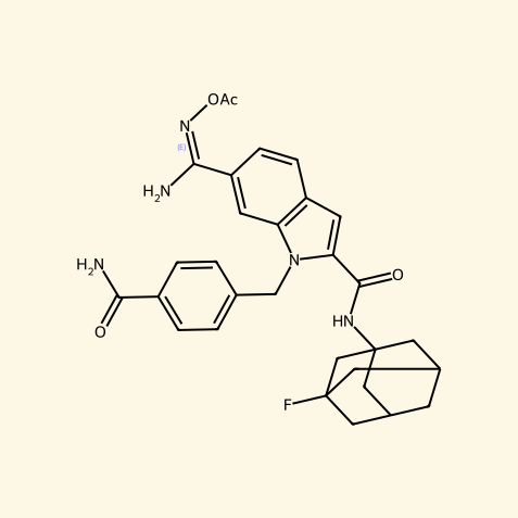 CC(=O)O/N=C(/N)c1ccc2cc(C(=O)NC34CC5CC(CC(F)(C5)C3)C4)n(Cc3ccc(C(N)=O)cc3)c2c1